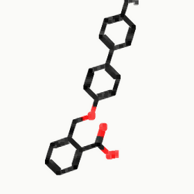 Cc1ccc(-c2ccc(OCc3ccccc3C(=O)O)cc2)cc1